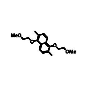 COCCOc1c(C)ccc2c(OCCOC)c(C)ccc12